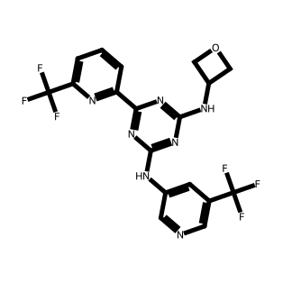 FC(F)(F)c1cncc(Nc2nc(NC3COC3)nc(-c3cccc(C(F)(F)F)n3)n2)c1